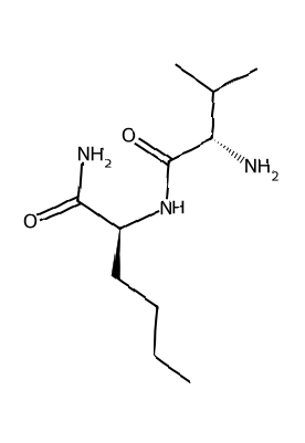 CCCC[C@H](NC(=O)[C@@H](N)C(C)C)C(N)=O